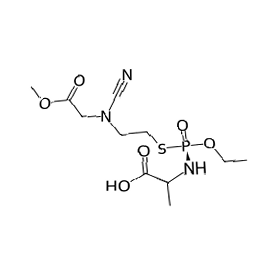 CCO[P@](=O)(NC(C)C(=O)O)SCCN(C#N)CC(=O)OC